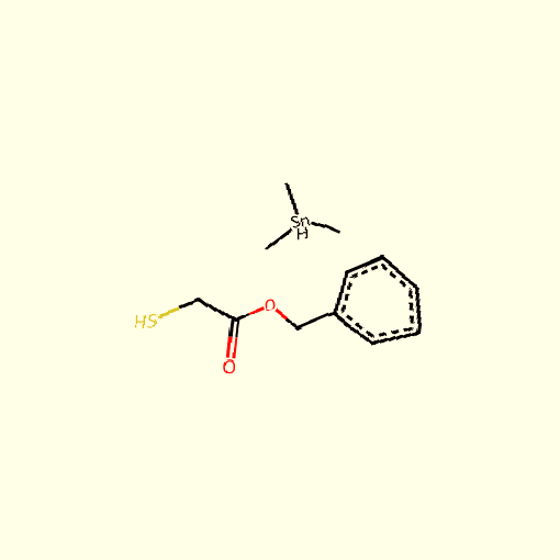 O=C(CS)OCc1ccccc1.[CH3][SnH]([CH3])[CH3]